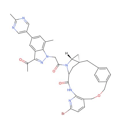 CC(=O)c1nn(CC(=O)N2C3C[C@@]4(Cc5ccc(cc5)COCc5ccc(Br)nc5NC3=O)C[C@@H]24)c2c(C)cc(-c3cnc(C)nc3)cc12